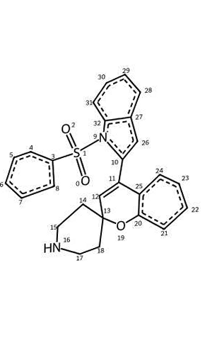 O=S(=O)(c1ccccc1)n1c(C2=CC3(CCNCC3)Oc3ccccc32)cc2ccccc21